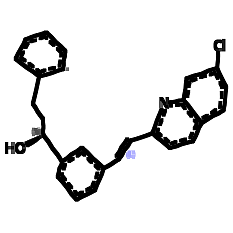 O[C@@H](CCc1[c]cccc1)c1cccc(/C=C/c2ccc3ccc(Cl)cc3n2)c1